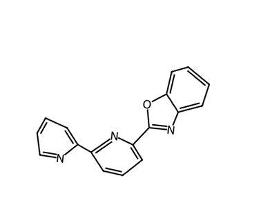 c1ccc(-c2cccc(-c3nc4ccccc4o3)n2)nc1